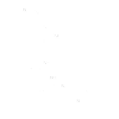 C=C(NC(COCCC)C(=O)NC(CCC(Cc1ccccc1)NC(=O)OCc1cncs1)Cc1ccccc1)N(C)Cc1csc(C(C)C)n1